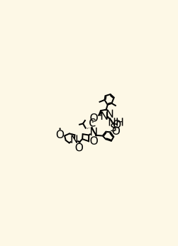 COC1CCN(C(=O)C2CC(N3C(=O)c4cccc(c4)S(=O)(=O)Nc4nc(cc(-c5c(C)cccc5C)n4)OC[C@H]3CC(C)C)C2)CC1